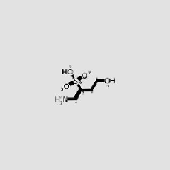 NC=C(CCO)S(=O)(=O)O